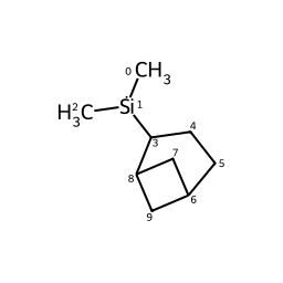 C[Si](C)C1CCC2CC1C2